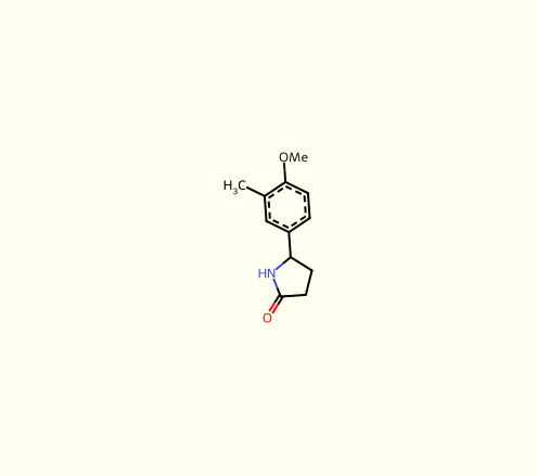 COc1ccc(C2CCC(=O)N2)cc1C